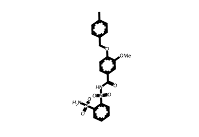 COc1cc(C(=O)NS(=O)(=O)c2ccccc2S(N)(=O)=O)ccc1OCc1ccc(C)cc1